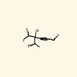 OC(C#CCF)(C(F)F)C(F)F